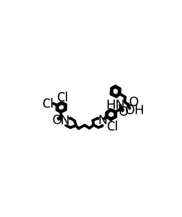 O=C(NC(Cc1ccccc1)C(=O)O)c1ccc(N2CCC(CCCC3CCN(C(=O)c4ccc(Cl)c(Cl)c4)CC3)CC2)c(Cl)c1